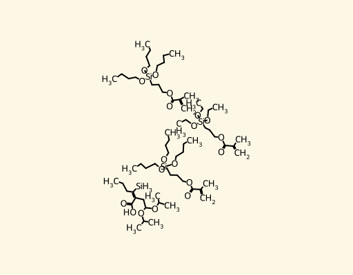 C=C(C)C(=O)OCCC[Si](OCC)(OCC)OCC.C=C(C)C(=O)OCCC[Si](OCCCC)(OCCCC)OCCCC.C=C(C)C(=O)OCCC[Si](OCCCC)(OCCCC)OCCCC.CCCC([SiH3])=C(CC(OC(C)C)OC(C)C)C(=O)O